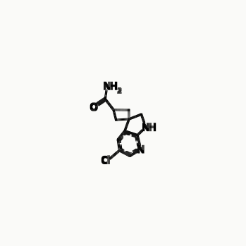 NC(=O)C1CC2(CNc3ncc(Cl)cc32)C1